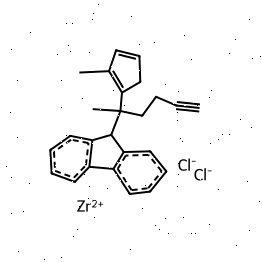 C#CCCC(C)(C1=C(C)C=CC1)C1c2ccccc2-c2ccccc21.[Cl-].[Cl-].[Zr+2]